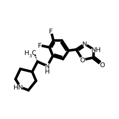 C[C@H](Nc1cc(-c2n[nH]c(=O)o2)cc(F)c1F)C1CCNCC1